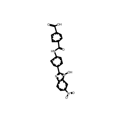 O=C(O)c1ccc(C(=O)Nc2ccc(-c3nc4ccc([N+](=O)[O-])cc4n3O)cc2)cc1